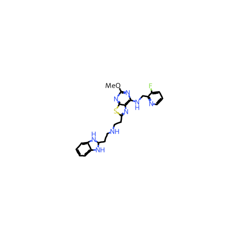 COc1nc(NCc2ncccc2F)c2nc(CCNCCC3Nc4ccccc4N3)sc2n1